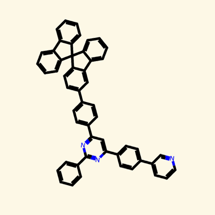 c1ccc(-c2nc(-c3ccc(-c4cccnc4)cc3)cc(-c3ccc(-c4ccc5c(c4)-c4ccccc4C54c5ccccc5-c5ccccc54)cc3)n2)cc1